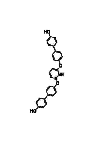 Oc1ccc(-c2ccc(OC3=CC=CN(Oc4ccc(-c5ccc(O)cc5)cc4)N3)cc2)cc1